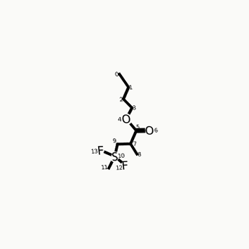 CCCCOC(=O)C(C)CS(C)(F)F